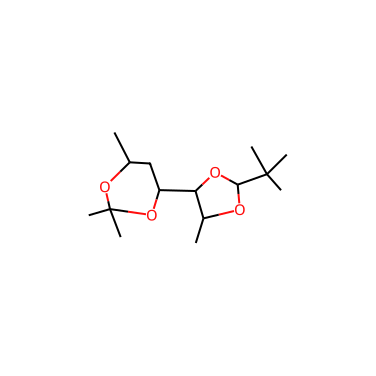 CC1CC(C2OC(C(C)(C)C)OC2C)OC(C)(C)O1